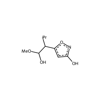 COC(O)C(c1cc(O)no1)C(C)C